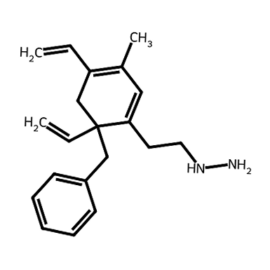 C=CC1=C(C)C=C(CCNN)C(C=C)(Cc2ccccc2)C1